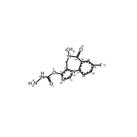 CN1Cc2c(OC(=O)NN)ncn2-c2ccc(F)cc2C1=O